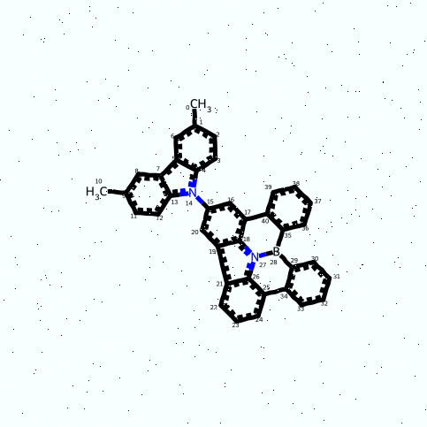 Cc1ccc2c(c1)c1cc(C)ccc1n2-c1cc2c3c(c1)c1cccc4c1n3B(c1ccccc1-4)c1ccccc1-2